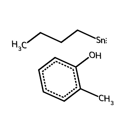 CCC[CH2][Sn].Cc1ccccc1O